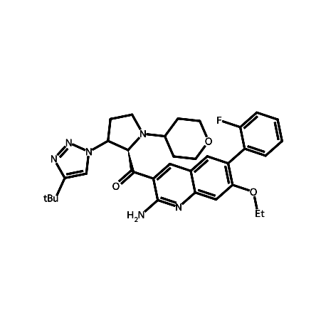 CCOc1cc2nc(N)c(C(=O)[C@H]3C(n4cc(C(C)(C)C)nn4)CCN3C3CCOCC3)cc2cc1-c1ccccc1F